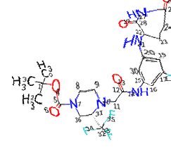 CC(C)(C)OC(=O)N1CCN(CC(=O)Nc2cc(F)cc(NC3CCC(=O)NC3=O)c2)[C@H](C(F)(F)F)C1